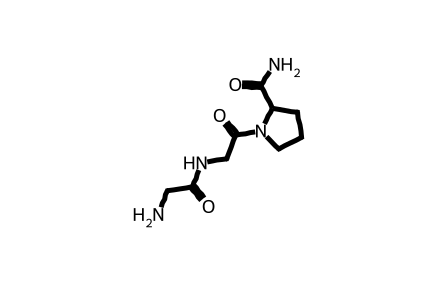 NCC(=O)NCC(=O)N1CCCC1C(N)=O